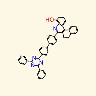 Oc1cccc2c1nc(-c1ccc(-c3ccc(-c4nc(-c5ccccc5)nc(-c5ccccc5)n4)cc3)cc1)c1ccc3ccccc3c12